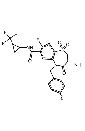 N[C@H]1CS(=O)(=O)c2cc(F)c(C(=O)NC3CC3C(F)(F)F)cc2N(Cc2ccc(Cl)cc2)C1=O